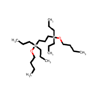 CCCCO[Si](CCC)(CCC)CCC[Si](CCC)(CCC)OCCCC